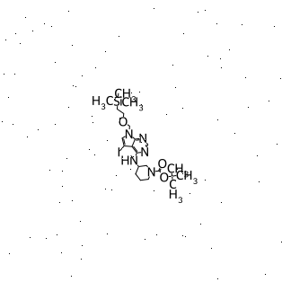 CC(C)(C)OC(=O)N1CCCC(Nc2ncnc3c2c(I)cn3COCC[Si](C)(C)C)C1